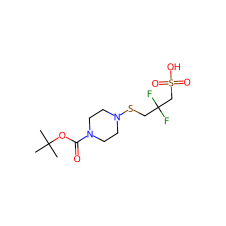 CC(C)(C)OC(=O)N1CCN(SCC(F)(F)CS(=O)(=O)O)CC1